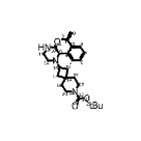 C=C(C)c1ccccc1C1C(=O)NCCN1C1CC2(CCN(C(=O)OC(C)(C)C)CC2)C1